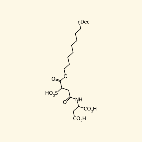 CCCCCCCCCCCCCCCCCCOC(=O)C(CC(=O)NC(CC(=O)O)C(=O)O)S(=O)(=O)O